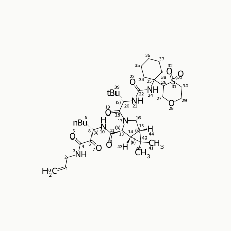 C=CCNC(=O)C(=O)[C@H](CCCC)NC(=O)[C@@H]1[C@@H]2[C@H](CN1C(=O)[C@@H](NC(=O)NC1(C3COCCS3(=O)=O)CCCCC1)C(C)(C)C)C2(C)C